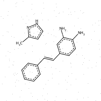 Cc1cc[nH]n1.Nc1ccc(C=Cc2ccccc2)cc1N